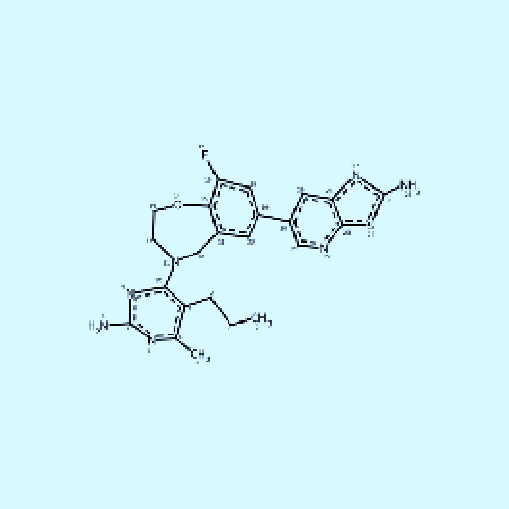 CCCc1c(C)nc(N)nc1N1CCOc2c(F)cc(-c3cnc4sc(N)nc4c3)cc2C1